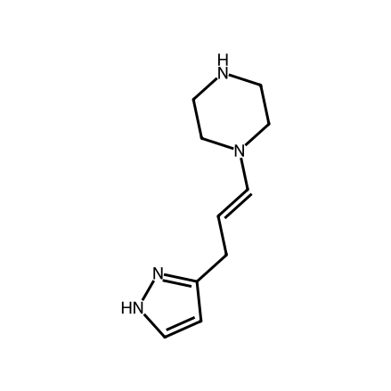 C(=CN1CCNCC1)Cc1cc[nH]n1